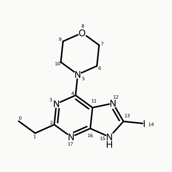 CCc1nc(N2CCOCC2)c2nc(I)[nH]c2n1